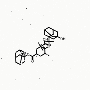 CC(CC(CC(C)(C)C(=O)O)C(=O)OC12CC3CC(C1)C(=O)C(C3)C2)C(=O)OC(C)(C)C12CC3CC(CC(O)(C3)C1)C2